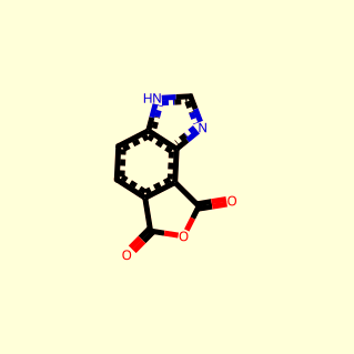 O=C1OC(=O)c2c1ccc1[nH]cnc21